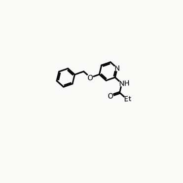 CCC(=O)Nc1cc(OCc2ccccc2)ccn1